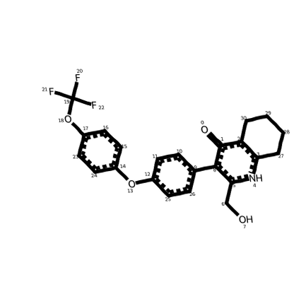 O=c1c2c([nH]c(CO)c1-c1ccc(Oc3ccc(OC(F)(F)F)cc3)cc1)CCCC2